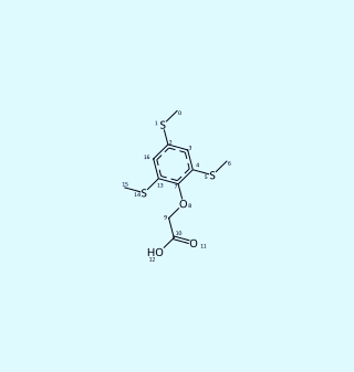 CSc1cc(SC)c(OCC(=O)O)c(SC)c1